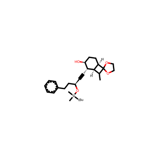 CC1[C@H]2[C@H](C#C[C@H](CCc3ccccc3)O[Si](C)(C)C(C)(C)C)[C@@H](O)CC[C@H]2C12OCCO2